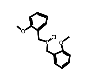 COc1ccccc1CP(Cl)Cc1ccccc1OC